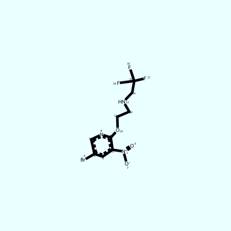 O=[N+]([O-])c1cc(Br)cnc1OCCNCC(F)(F)F